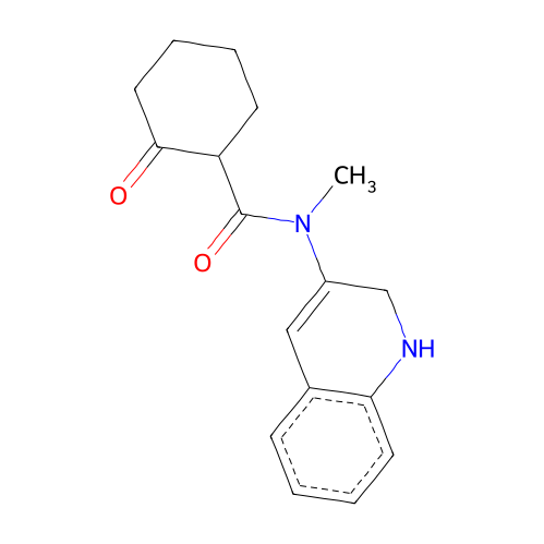 CN(C(=O)C1CCCCC1=O)C1=Cc2ccccc2NC1